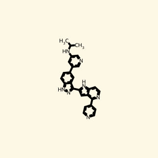 CC(C)Nc1cncc(-c2ccc3[nH]nc(-c4cc5c(-c6ccncc6)nccc5[nH]4)c3c2)c1